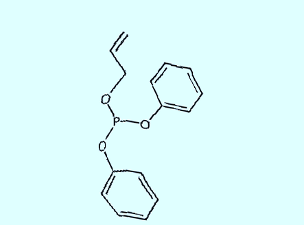 C=CCOP(Oc1ccccc1)Oc1ccccc1